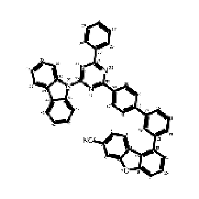 N#Cc1ccc2c(c1)oc1cccc(-c3cccc(-c4ccc(-c5nc(-c6ccccc6)nc(-n6c7ccccc7c7ccccc76)n5)cc4)c3)c12